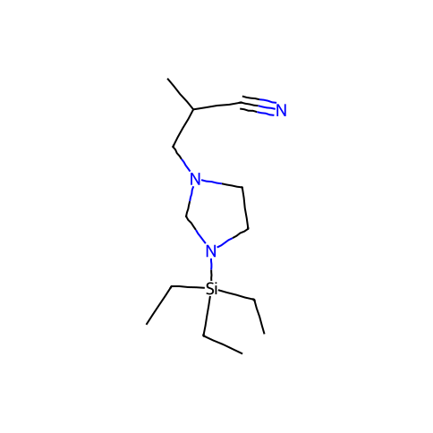 CC[Si](CC)(CC)N1CCN(CC(C)C#N)C1